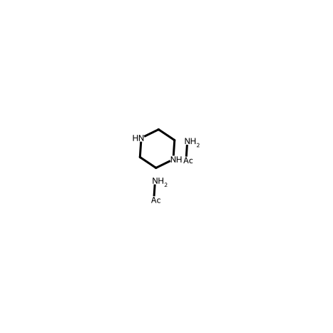 C1CNCCN1.CC(N)=O.CC(N)=O